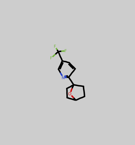 FC(F)(F)c1ccc(C23CCC(CC2)O3)nc1